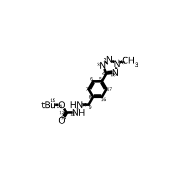 Cn1nnc(-c2ccc(CNNC(=O)OC(C)(C)C)cc2)n1